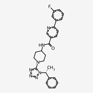 C[C@H](c1ccccc1)n1nnnc1N1CCC(NC(=O)c2ccc(-c3cccc(F)c3)nc2)CC1